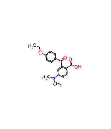 CCOc1ccc(C(=O)c2cc(N(C)C)ccc2C(=O)O)cc1